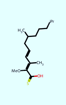 COC(C(O)=S)=C(C)C=CCC(C)CCCC(C)C